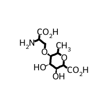 CC1OC(C(=O)O)[C@@H](O)[C@H](O)[C@H]1OCC(N)C(=O)O